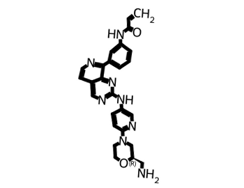 C=CC(=O)Nc1cccc(-c2nccc3cnc(Nc4ccc(N5CCO[C@H](CN)C5)nc4)nc23)c1